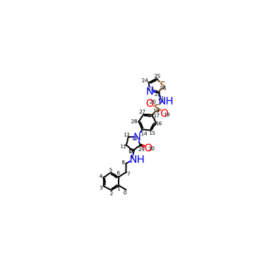 Cc1ccccc1CCN[C@H]1CCN(c2ccc(S(=O)(=O)Nc3nccs3)cc2)C1=O